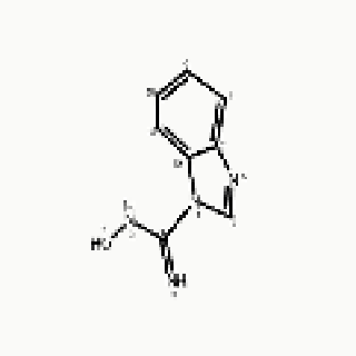 N=C(NO)n1[c]nc2ccccc21